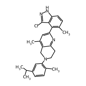 Cc1ccc(C(C)C)cc1N1CCc2nc(-c3c(C)ccc4[nH]nc(Cl)c34)cc(C)c2C1